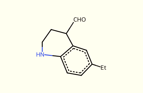 CCc1ccc2c(c1)C(C=O)CCN2